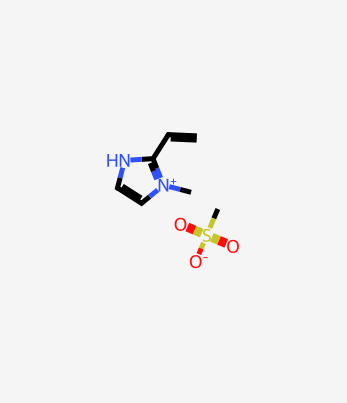 C=Cc1[nH]cc[n+]1C.CS(=O)(=O)[O-]